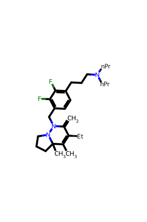 C=C1C(CC)=C(C)C2(C)CCCN2N1Cc1ccc(CCCN(CCC)CCC)c(F)c1F